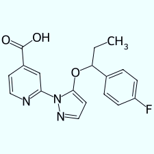 CCC(Oc1ccnn1-c1cc(C(=O)O)ccn1)c1ccc(F)cc1